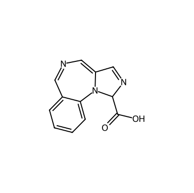 O=C(O)C1N=CC2=CN=Cc3ccccc3N21